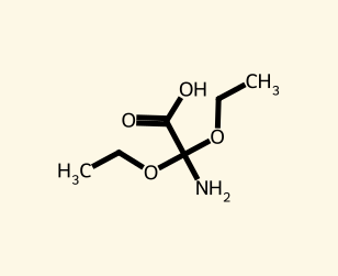 CCOC(N)(OCC)C(=O)O